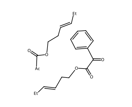 CCC=CCCOC(=O)C(=O)c1ccccc1.CCC=CCCOC(=O)C(C)=O